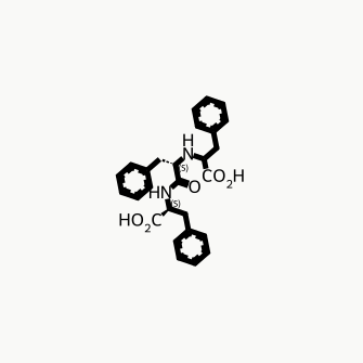 O=C(O)C(Cc1ccccc1)N[C@@H](Cc1ccccc1)C(=O)N[C@@H](Cc1ccccc1)C(=O)O